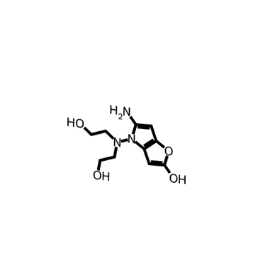 Nc1cc2oc(O)cc2n1N(CCO)CCO